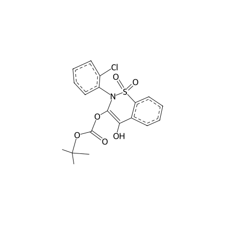 CC(C)(C)OC(=O)OC1=C(O)c2ccccc2S(=O)(=O)N1c1ccccc1Cl